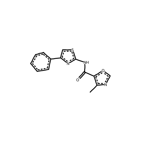 Cc1ncoc1C(=O)Nc1nc(-c2ccccc2)cs1